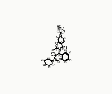 Cc1nc2c(c(=O)n1C(C(=O)N(C)C1CCCCC1)c1ccccc1)CCN(C(=O)OC(C)(C)C)C2